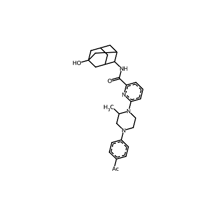 CC(=O)c1ccc(N2CCN(c3cccc(C(=O)NC4C5CC6CC4CC(O)(C6)C5)n3)C(C)C2)cc1